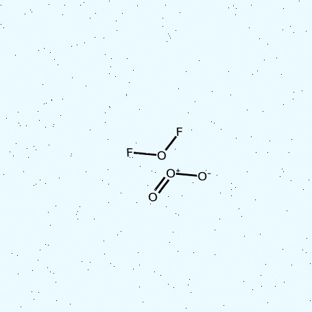 FOF.O=[O+][O-]